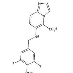 COc1c(F)cc(CNc2ccc3nccn3c2C(=O)O)cc1F